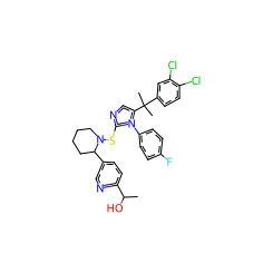 CC(O)c1ccc(C2CCCCN2Sc2ncc(C(C)(C)c3ccc(Cl)c(Cl)c3)n2-c2ccc(F)cc2)cn1